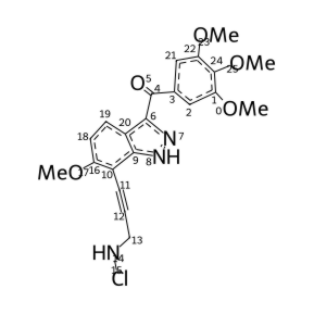 COc1cc(C(=O)c2n[nH]c3c(C#CCNCl)c(OC)ccc23)cc(OC)c1OC